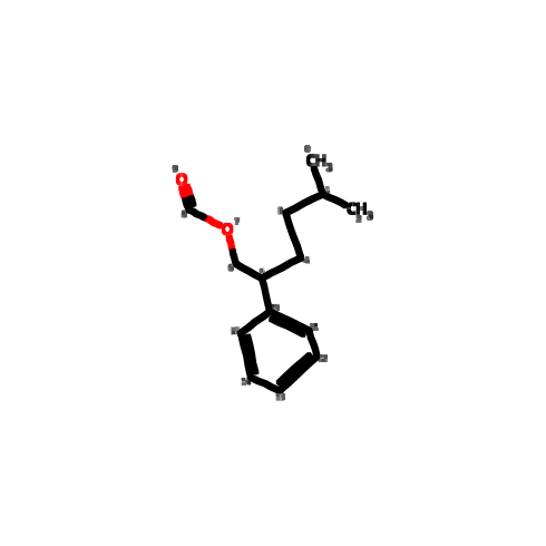 CC(C)CCC(COC=O)c1ccccc1